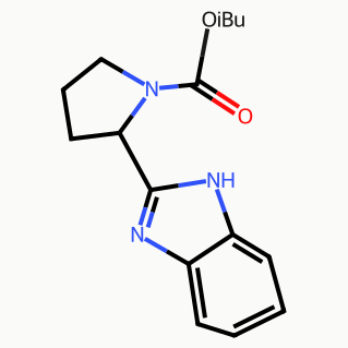 CC(C)COC(=O)N1CCCC1c1nc2ccccc2[nH]1